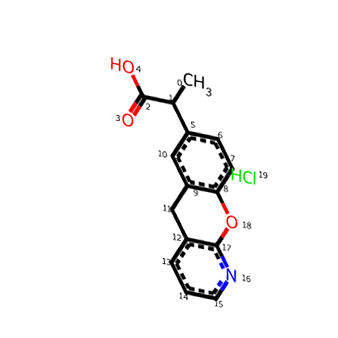 CC(C(=O)O)c1ccc2c(c1)Cc1cccnc1O2.Cl